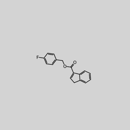 O=C(OCc1ccc(F)cc1)C1=CCc2ccccc21